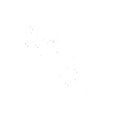 C=C/C(=C\NC1=C(/C=C\C)NC=NN1C)C(C)(C)c1nc(C2CC2)no1